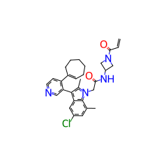 C=CC(=O)N1CC(NC(=O)Cn2c(C)c(-c3cnccc3C3=CCCCCC3)c3cc(Cl)cc(C)c32)C1